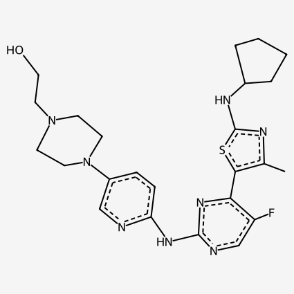 Cc1nc(NC2CCCC2)sc1-c1nc(Nc2ccc(N3CCN(CCO)CC3)cn2)ncc1F